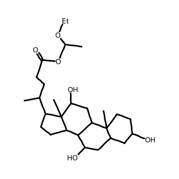 CCOC(C)OC(=O)CCC(C)C1CCC2C3C(O)CC4CC(O)CCC4(C)C3CC(O)C12C